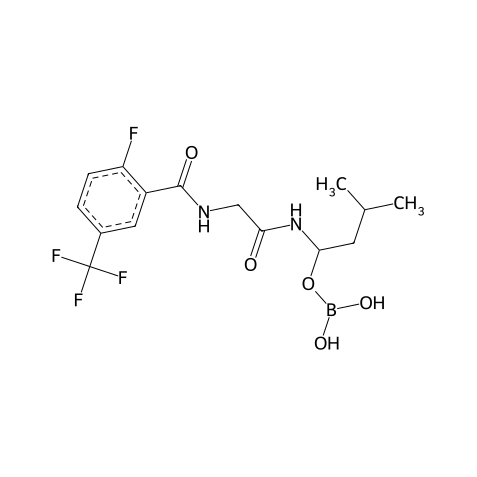 CC(C)CC(NC(=O)CNC(=O)c1cc(C(F)(F)F)ccc1F)OB(O)O